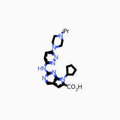 CC(C)N1CCN(c2ccc(Nc3ncc4cc(C(=O)O)n(C5CCCC5)c4n3)nn2)CC1